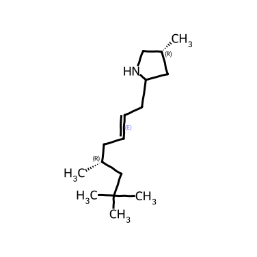 C[C@H](C/C=C/CC1C[C@@H](C)CN1)CC(C)(C)C